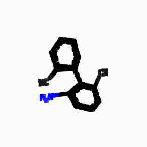 N#Cc1ccccc1-c1c(N)cccc1C#N